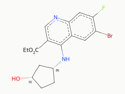 CCOC(=O)c1cnc2cc(F)c(Br)cc2c1N[C@@H]1CC[C@H](O)C1